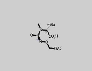 CC[C@@H](C)[C@@H](C(=O)O)N(C)/[N+]([O-])=N\OCOC(C)=O